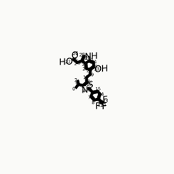 CC(C)c1nc(-c2ccc(C(F)(F)F)cc2)sc1CCc1cc2c(CC(=O)O)c[nH]c2cc1O